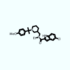 CCN(CC1CCCN(C(C)(C)c2ccc(OC)cc2)C1)C(=O)c1cc2cc(Cl)ccc2[nH]1